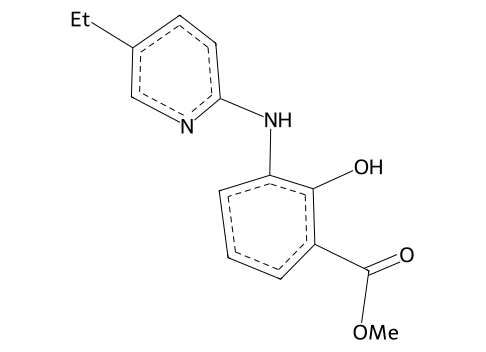 CCc1ccc(Nc2cccc(C(=O)OC)c2O)nc1